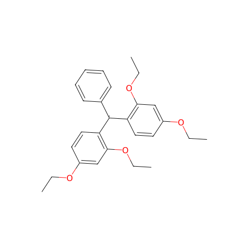 CCOc1ccc([C](c2ccccc2)c2ccc(OCC)cc2OCC)c(OCC)c1